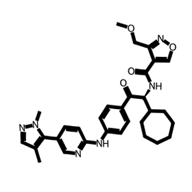 COCc1nocc1C(=O)N[C@H](C(=O)c1ccc(Nc2ccc(-c3c(C)cnn3C)cn2)cc1)C1CCCCCC1